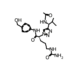 CC(=O)N[C@H](c1cn([C@@H](CCCNC(N)=O)C(=O)Nc2ccc(CO)cc2)nn1)C(C)C